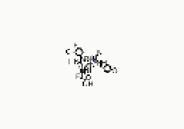 COc1ccc(CN/C(=N\C#N)NCc2nonc2C(=N)N(O)c2ccc(F)c(Cl)c2)cc1.O=C(O)C(F)(F)F